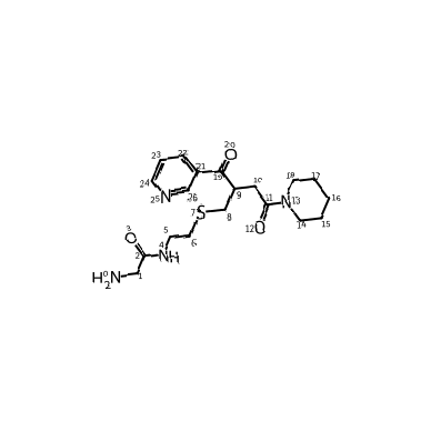 NCC(=O)NCCSCC(CC(=O)N1CCCCC1)C(=O)c1cccnc1